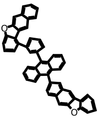 c1cc(-c2c3ccccc3c(-c3ccc4cc5oc6ccccc6c5cc4c3)c3ccccc23)cc(-c2cccc3oc4cc5ccccc5cc4c23)c1